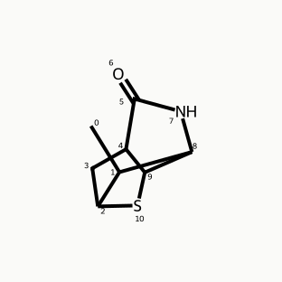 CC1C2CC3C(=O)NC1C3S2